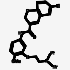 COc1ccc(NC(=O)C2=Cc3cc(Cl)ccc3OC2)cc1OCCN(C(C)C)C(C)C